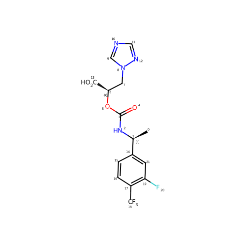 C[C@H](NC(=O)O[C@H](Cn1cncn1)C(=O)O)c1ccc(C(F)(F)F)c(F)c1